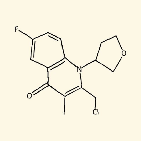 O=c1c(I)c(CCl)n(C2CCOC2)c2ccc(F)cc12